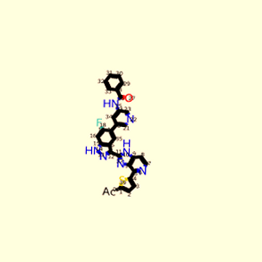 CC(=O)c1ccc(-c2nccc3[nH]c(-c4n[nH]c5cc(F)c(-c6cncc(NC(=O)c7ccccc7)c6)cc45)nc23)s1